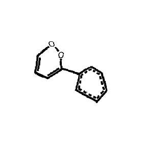 C1=COOC(c2ccccc2)=C1